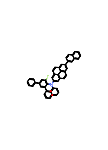 Fc1cc(-c2ccccc2)cc(-c2ccccc2)c1N(c1ccccc1)c1cc2ccc3cc(-c4ccc5ccccc5c4)cc4ccc(c1)c2c34